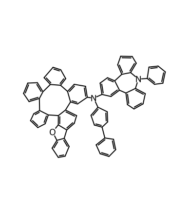 c1ccc(-c2ccc(N(c3ccc4c(c3)-c3ccccc3N(c3ccccc3)c3ccccc3-4)c3ccc4c5ccccc5c5ccccc5c5ccccc5c5c(ccc6c7ccccc7oc65)c4c3)cc2)cc1